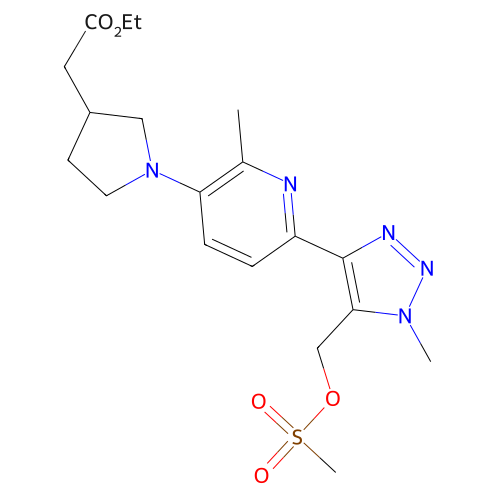 CCOC(=O)CC1CCN(c2ccc(-c3nnn(C)c3COS(C)(=O)=O)nc2C)C1